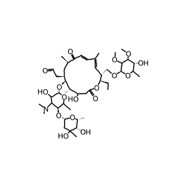 CC[C@H]1OC(=O)C[C@@H](O)[C@H](C)[C@@H](O[C@@H]2OC(C)[C@@H](O[C@H]3CC(C)(O)[C@@H](O)[C@@H](C)O3)C(N(C)C)C2O)[C@@H](CC=O)C[C@@H](C)C(=O)/C=C/C(C)=C/[C@@H]1CO[C@@H]1OC(C)[C@@H](O)[C@H](OC)C1OC